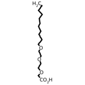 C=CCCCCCCCCCOCCOCCOCC(=O)O